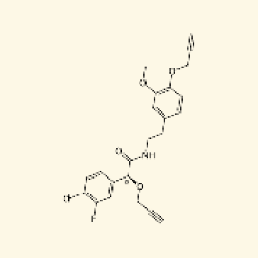 C#CCOc1ccc(CCNC(=O)[C@@H](OCC#C)c2ccc(Cl)c(F)c2)cc1OC